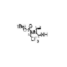 C=CN(C=N)N(CC(F)(F)F)C(=O)OC(C)(C)C